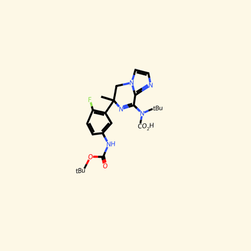 CC(C)(C)OC(=O)Nc1ccc(F)c(C2(C)Cn3ccnc3C(N(C(=O)O)C(C)(C)C)=N2)c1